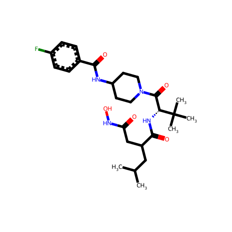 CC(C)CC(CC(=O)NO)C(=O)N[C@H](C(=O)N1CCC(NC(=O)c2ccc(F)cc2)CC1)C(C)(C)C